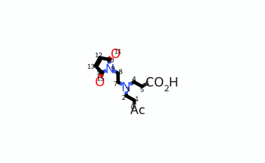 CC(=O)CCN(CCC(=O)O)CCN1C(=O)C=CC1=O